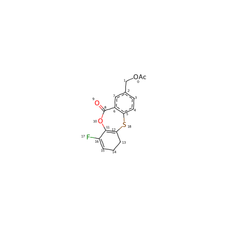 CC(=O)OCc1ccc2c(c1)C(=O)OC1=C(CCC=C1F)S2